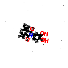 CC(C)(C)C1C(=O)N(c2ccc(O)c(O)c2)C(=O)C1C(C)(C)C